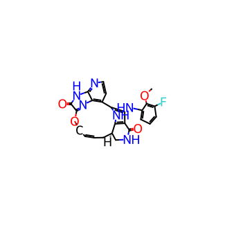 COc1c(F)cccc1Nc1c2[nH]c3c1C(=O)NC[C@H]3C/C=C\COc1nc3c-2ccnc3[nH]c1=O